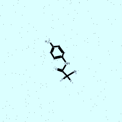 Cc1ccc(NC(=O)C(F)(F)Br)cc1